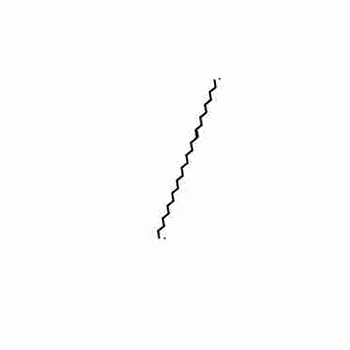 [CH2]CCCCCCCC=CCCCCCCCCCCCCCCC[CH2]